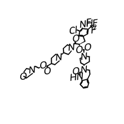 Nc1c(Cl)cc(C[C@@H](OC(=O)N2CCC(N3CCc4ccccc4NC3=O)CC2)C(=O)N2CCC(N3CCC(C(=O)OCCN4CCOCC4)CC3)CC2)cc1C(F)(F)F